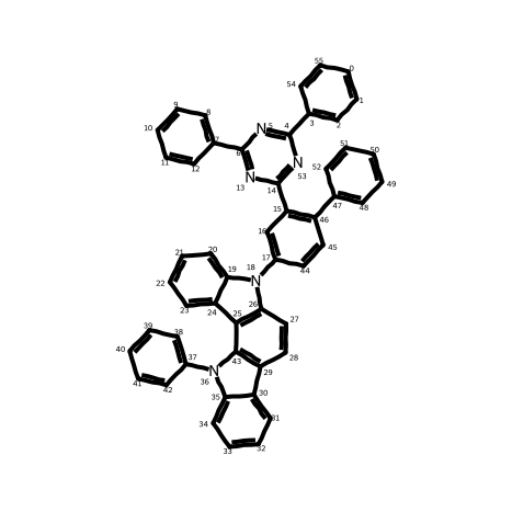 c1ccc(-c2nc(-c3ccccc3)nc(-c3cc(-n4c5ccccc5c5c4ccc4c6ccccc6n(-c6ccccc6)c45)ccc3-c3ccccc3)n2)cc1